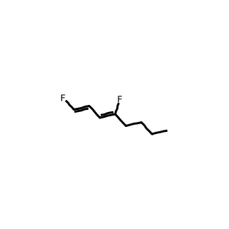 CCCCC(F)=CC=CF